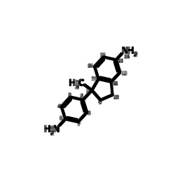 CC1(c2ccc(N)cc2)CCc2cc(N)ccc21